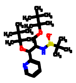 CC(C)(C)[S@@+]([O-])NC(CO[Si](C)(C)C(C)(C)C)C(O[Si](C)(C)C(C)(C)C)c1ccccn1